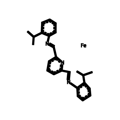 CC(C)c1ccccc1N=Cc1cccc(C=Nc2ccccc2C(C)C)n1.[Fe]